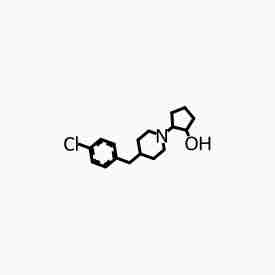 OC1CCCC1N1CCC(Cc2ccc(Cl)cc2)CC1